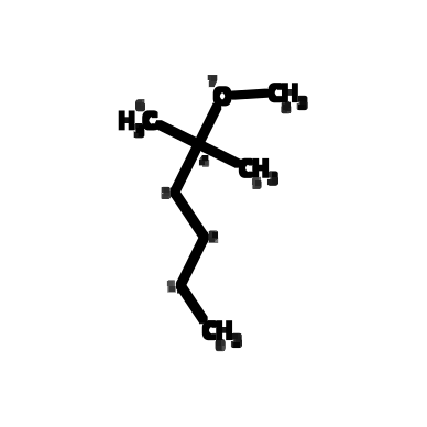 C[CH]CCC(C)(C)OC